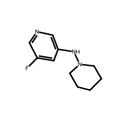 Fc1cncc(NN2CCCCC2)c1